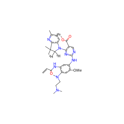 [2H]C1([2H])N(c2nc(Nc3cc(NC(=O)C=C)c(N(C)CCN(C)C)cc3OC)ncc2C(=O)OC(C)C)c2ccc(C)nc2C1(C)C